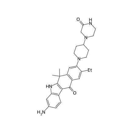 CCc1cc2c(cc1N1CCC(N3CCNC(=O)C3)CC1)C(C)(C)c1[nH]c3cc(N)ccc3c1C2=O